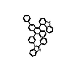 c1ccc(-c2ccc3c(-c4cccc(-n5c(-c6ccccc6)nc6ccccc65)c4)c4ccccc4c(-c4cccc5sc6ccccc6c45)c3c2)cc1